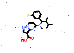 CC(C)C(C)C(c1cccc(F)c1)N(C)c1ccn2ncc(C(=O)O)c2n1